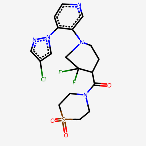 O=C(C1CCN(c2cnccc2-n2cc(Cl)cn2)CC1(F)F)N1CCS(=O)(=O)CC1